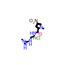 CN1NC1NCCNC(=O)c1cc([N+](=O)[O-])cn1C.Cl